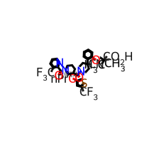 CCC[C@H]1N(C(=O)c2ncccc2C(F)(F)F)CCC[C@@]1(Oc1csc(C(F)(F)F)c1)C(=O)N1CCC(C#N)(c2ccccc2OCC(C)(C)C(=O)O)CC1